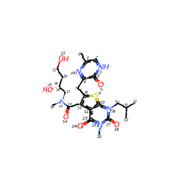 Cc1c[nH]c(=O)c(Cc2sc3c(c2C(=O)N(C)C[C@H](O)CCO)c(=O)n(C)c(=O)n3CC(C)C)n1